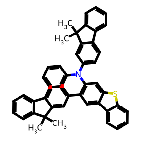 CC1(C)c2ccccc2-c2ccc(-c3cc4c(cc3N(c3ccccc3)c3ccc5c(c3)C(C)(C)c3ccccc3-5)sc3ccccc34)cc21